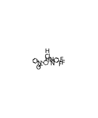 Cl.O=C1C[C@]2(CC[C@@H](c3nc4cc(C(F)(F)F)ccc4[nH]3)CC2)CN1c1ccccc1